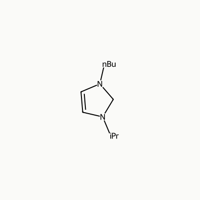 CCCCN1C=CN(C(C)C)C1